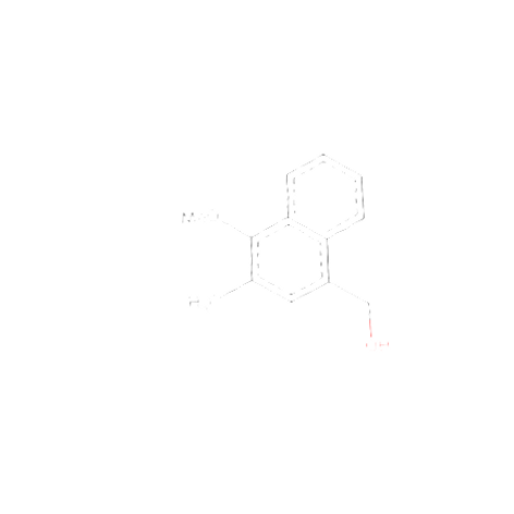 COc1c(C)cc(CO)c2ccccc12